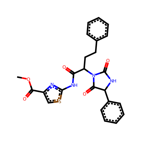 COC(=O)c1csc(NC(=O)C(CCc2ccccc2)N2C(=O)NC(c3ccccc3)C2=O)n1